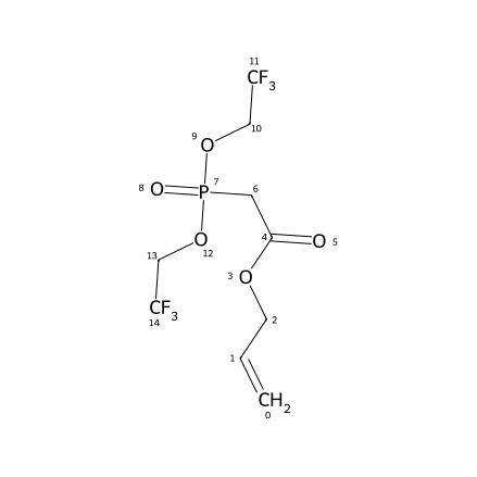 C=CCOC(=O)CP(=O)(OCC(F)(F)F)OCC(F)(F)F